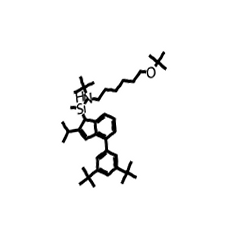 CC(C)C1=Cc2c(-c3cc(C(C)(C)C)cc(C(C)(C)C)c3)cccc2C1[SiH](C)N(CCCCCCOC(C)(C)C)C(C)(C)C